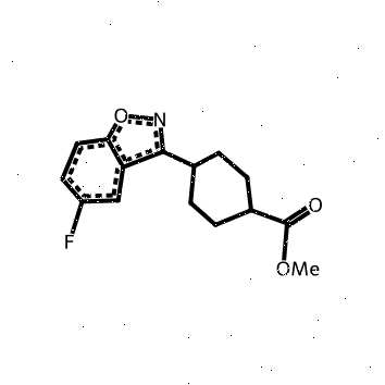 COC(=O)C1CCC(c2noc3ccc(F)cc23)CC1